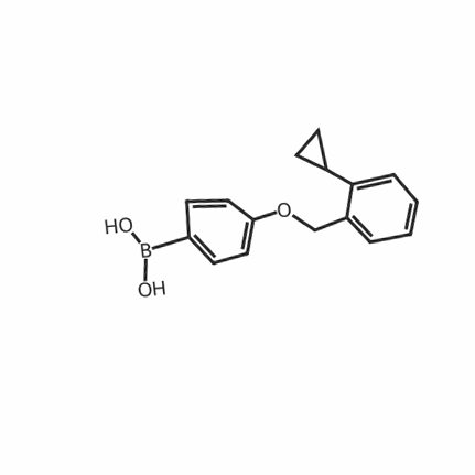 OB(O)c1ccc(OCc2ccccc2C2CC2)cc1